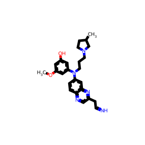 COc1cc(O)cc(N(CCCN2CCC(C)C2)c2ccc3ncc(CC=N)nc3c2)c1